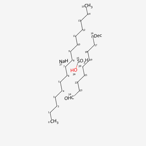 CCCCCCCCCCCCCCCC.CCCCCCCCCCCCCCCCCC=O.O=S(=O)(O)O.[NaH]